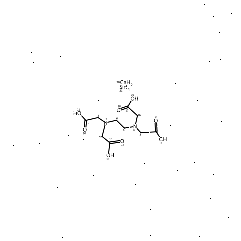 O=C(O)CN(CCN(CC(=O)O)CC(=O)O)CC(=O)O.[CaH2].[SiH4]